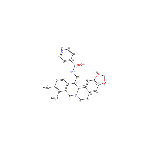 COc1ccc2c(c1OC)CN1CCc3cc4c(cc3C1C2CNC(=O)c1ccncc1)OCO4